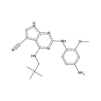 COc1cc(N)ccc1Nc1nc(NCC(C)(C)C)c2c(C#N)c[nH]c2n1